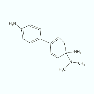 CN(C)C1(N)C=CC(c2ccc(N)cc2)=CC1